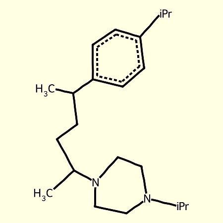 CC(C)c1ccc(C(C)CCC(C)N2CCN(C(C)C)CC2)cc1